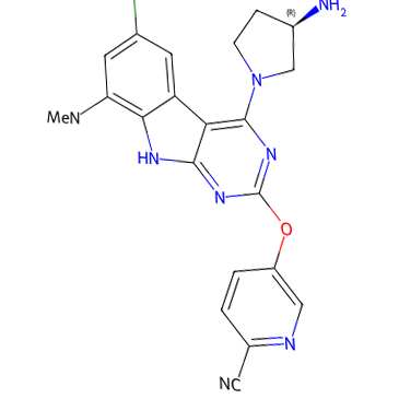 CNc1cc(F)cc2c1[nH]c1nc(Oc3ccc(C#N)nc3)nc(N3CC[C@@H](N)C3)c12